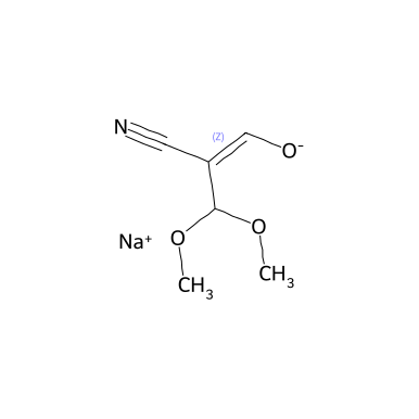 COC(OC)/C(C#N)=C\[O-].[Na+]